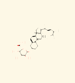 CC(C)[C@@H](C)C=C[C@@H](C)[C@H]1CC[C@H]2C3=CC=C4C[C@@H](OC5O[C@H](C(=O)O)[C@@H](O)[C@H](O)[C@H]5O)CC[C@]4(C)[C@H]3CC[C@]12C